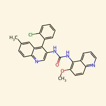 COc1ccc2ncccc2c1NC(=O)Nc1cnc2ccc(C)cc2c1-c1ccccc1Cl